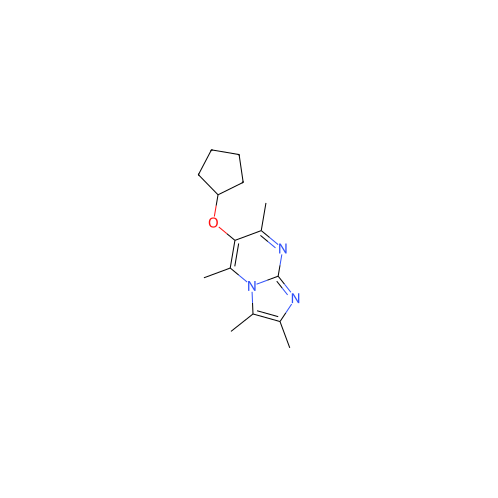 Cc1nc2nc(C)c(C)n2c(C)c1OC1CCCC1